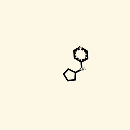 c1cc(NC2CCCC2)ccn1